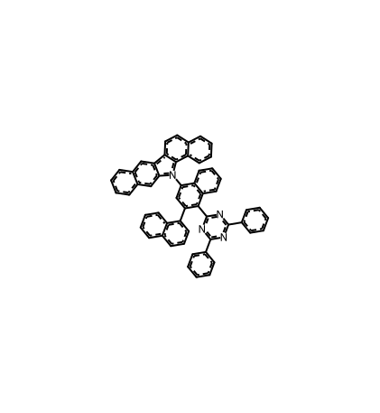 c1ccc(-c2nc(-c3ccccc3)nc(-c3c(-c4cccc5ccccc45)cc(-n4c5cc6ccccc6cc5c5ccc6ccccc6c54)c4ccccc34)n2)cc1